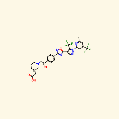 Cc1cc(C(F)(F)F)cc(-n2ncc(-c3nc(-c4ccc([C@H](O)CN5CCC[C@H](CC(=O)O)C5)cc4)no3)c2C(F)(F)F)n1